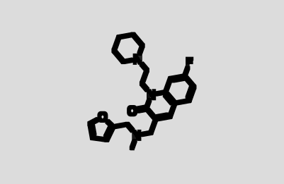 CN(Cc1ccco1)Cc1cc2ccc(F)cc2n(CCN2CCCCC2)c1=O